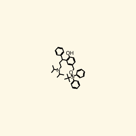 CC(C)N(CCC(c1ccccc1)c1cc(CO[Si](c2ccccc2)(c2ccccc2)C(C)(C)C)ccc1O)C(C)C